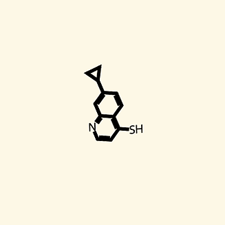 Sc1ccnc2cc(C3CC3)ccc12